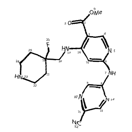 COC(=O)c1cnc(Nc2cnc(C#N)cn2)cc1NCC1(F)CCNCC1